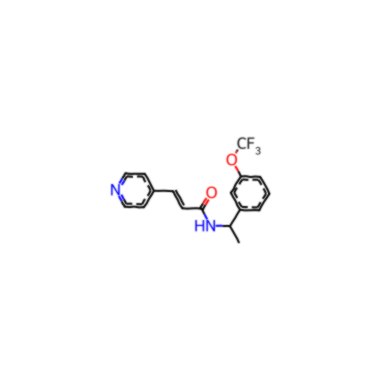 CC(NC(=O)C=Cc1ccncc1)c1cccc(OC(F)(F)F)c1